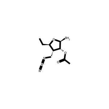 B[C@@H]1O[C@H](CC)[C@@H](CN=[N+]=[N-])[C@H]1OC(C)=O